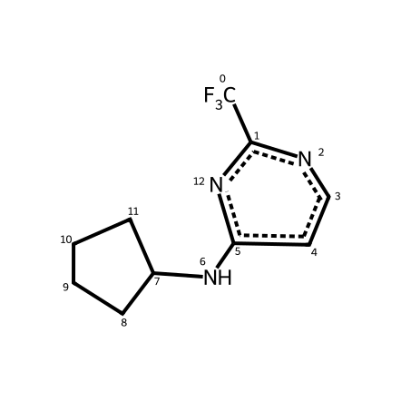 FC(F)(F)c1nccc(NC2CCCC2)n1